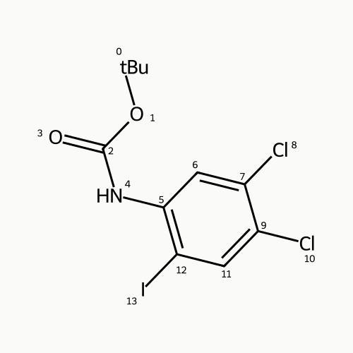 CC(C)(C)OC(=O)Nc1cc(Cl)c(Cl)cc1I